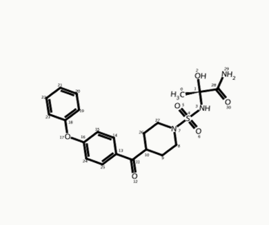 C[C@](O)(NS(=O)(=O)N1CCC(C(=O)c2ccc(Oc3ccccc3)cc2)CC1)C(N)=O